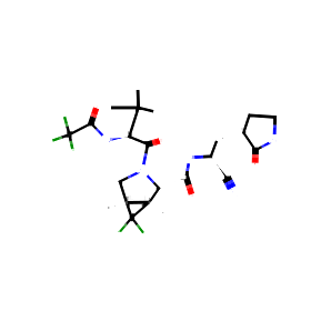 CC(C)(C)[C@H](NC(=O)C(F)(F)F)C(=O)N1C[C@H]2[C@@H]([C@H]1C(=O)N[C@H](C#N)C[C@@H]1CCNC1=O)C2(F)Cl